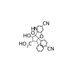 N#Cc1ccc(C23Oc4cc(C#N)cnc4C2(O)C(O)C(C(=O)O)C3c2ccccc2)cc1